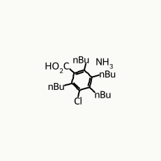 CCCCc1c(Cl)c(CCCC)c(C(=O)O)c(CCCC)c1CCCC.N